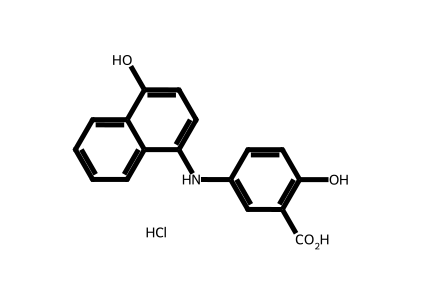 Cl.O=C(O)c1cc(Nc2ccc(O)c3ccccc23)ccc1O